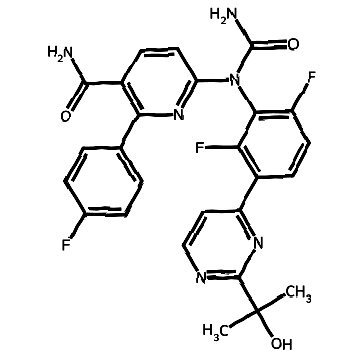 CC(C)(O)c1nccc(-c2ccc(F)c(N(C(N)=O)c3ccc(C(N)=O)c(-c4ccc(F)cc4)n3)c2F)n1